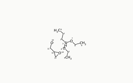 CCC[SiH](OCC)OCC.[O]CC1CO1